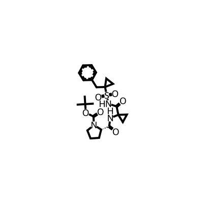 CC(C)(C)OC(=O)N1CCC[C@H]1C(=O)NC1(C(=O)NS(=O)(=O)C2(Cc3ccccc3)CC2)CC1